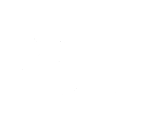 COCC1CCCC(O)(C(=O)O)C1